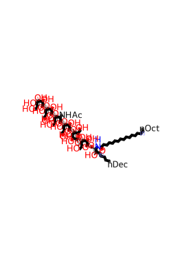 CCCCCCCC/C=C\CCCCCCCCCCCCCC(=O)N[C@@H](CO[C@@H]1OC(CO)[C@@H](O[C@@H]2OC(CO)[C@H](O[C@@H]3OC(CO)[C@H](O)[C@H](O[C@@H]4OC(CO)[C@H](O)[C@H](O[C@@H]5OC(CO)[C@H](O)[C@H](O[C@H]6OC(CO)[C@H](O)[C@H](O)C6O)C5O)C4NC(C)=O)C3O)[C@H](O)C2O)[C@H](O)C1O)[C@H](O)/C=C/CCCCCCCCCCCCC